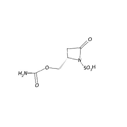 NC(=O)OC[C@@H]1CC(=O)N1S(=O)(=O)O